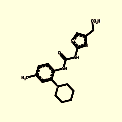 Cc1ccc(NC(=O)Nc2nc(CC(=O)O)cs2)c(N2CCCCC2)c1